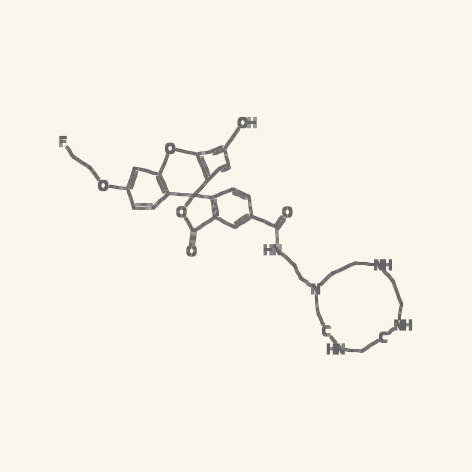 O=C(NCCN1CCNCCNCCNCC1)c1ccc2c(c1)C(=O)OC21c2ccc(O)cc2Oc2cc(OCCF)ccc21